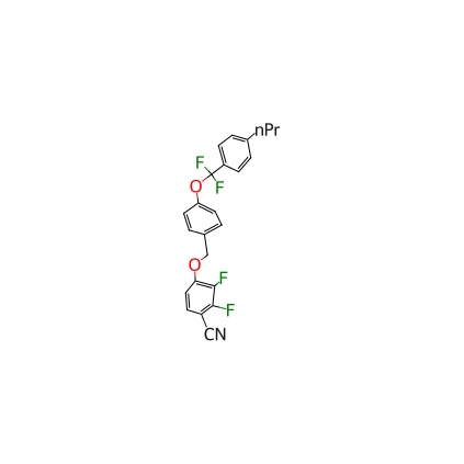 CCCc1ccc(C(F)(F)Oc2ccc(COc3ccc(C#N)c(F)c3F)cc2)cc1